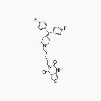 O=c1[nH]c2cscc2c(=O)n1CCCCCN1CCC(=C(c2ccc(F)cc2)c2ccc(F)cc2)CC1